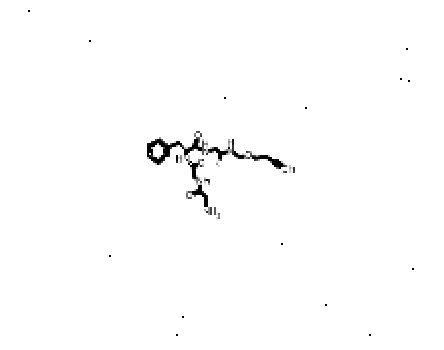 C#CCCOCNC(=O)CNC(=O)[C@H](Cc1ccccc1)NC(=O)CNC(=O)CN